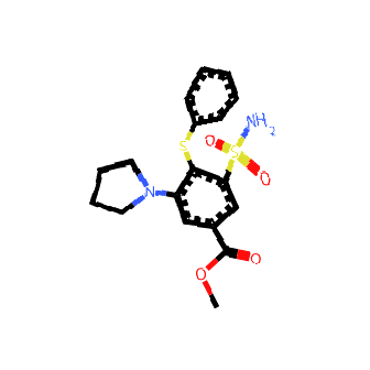 COC(=O)c1cc(N2CCCC2)c(Sc2ccccc2)c(S(N)(=O)=O)c1